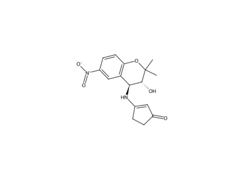 CC1(C)Oc2ccc([N+](=O)[O-])cc2[C@H](NC2=CC(=O)CC2)[C@H]1O